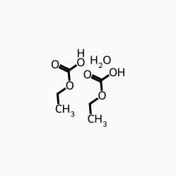 CCOC(=O)O.CCOC(=O)O.O